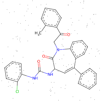 Cc1ccccc1C(=O)CN1C(=O)C(NC(=O)Nc2ccccc2Cl)C=C(c2ccccc2)c2ccccc21